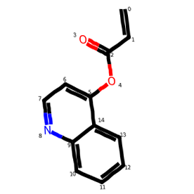 C=CC(=O)Oc1ccnc2ccccc12